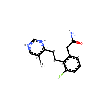 NC(=O)Cc1cccc(F)c1CCc1ncncc1C(F)(F)F